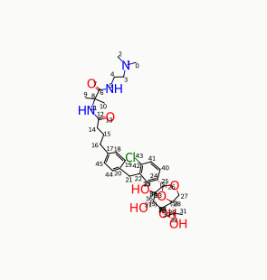 CN(C)CCNC(=O)C(C)(C)NC(=O)CCCc1ccc(Cc2cc([C@]34OC[C@](C(C)(C)O)(O3)[C@@H](O)[C@H](O)[C@H]4O)ccc2Cl)cc1